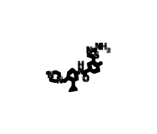 Cc1ccc(C(=O)Nc2ccc(CN3CCN(C)CC3)c(C3CC3)c2)cc1-c1cnc(N)s1